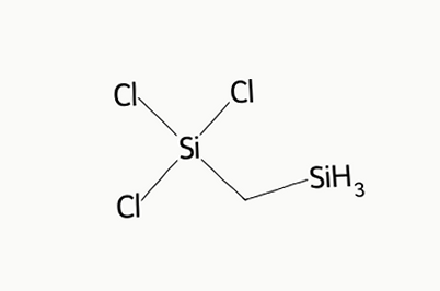 [SiH3]C[Si](Cl)(Cl)Cl